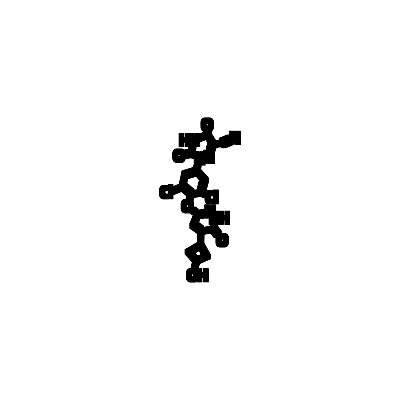 N#Cc1nn(-c2cc(Cl)c(Oc3cc(C4CC(O)C4)c(=O)[nH]n3)c(Cl)c2)c(=O)[nH]c1=O